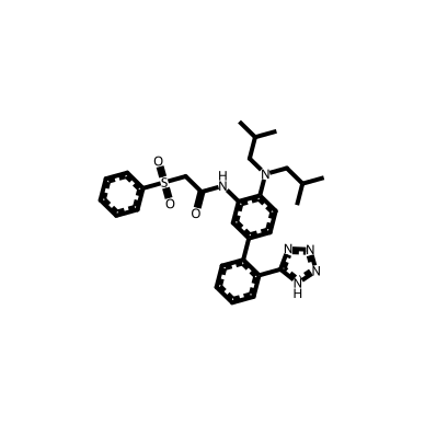 CC(C)CN(CC(C)C)c1ccc(-c2ccccc2-c2nnn[nH]2)cc1NC(=O)CS(=O)(=O)c1ccccc1